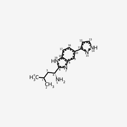 CC(C)C[C@@H](N)c1nc2cc(-c3cc[nH]n3)ccc2[nH]1